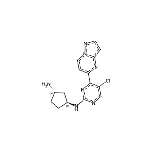 N[C@H]1CC[C@H](Nc2ncc(Cl)c(-c3ccn4nccc4n3)n2)C1